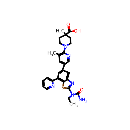 CCN(C(N)=O)c1nc2cc(-c3cnc(N4CCC(C)(C(=O)O)CC4)c(C)c3)cc(-c3ccccn3)c2s1